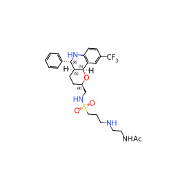 CC(=O)NCCNCCCS(=O)(=O)NC[C@H]1CC[C@@H]2[C@H](O1)c1cc(C(F)(F)F)ccc1N[C@H]2c1ccccc1